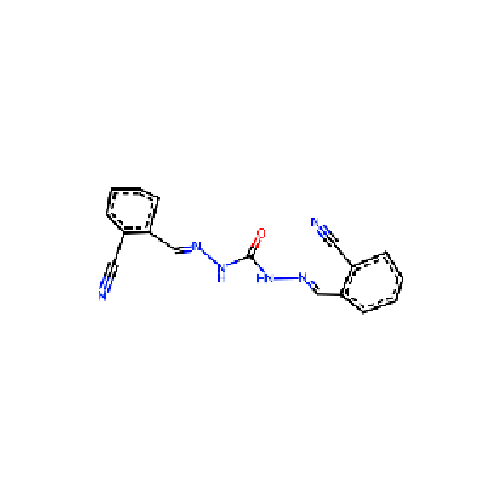 N#Cc1ccccc1/C=N/NC(=O)N/N=C/c1ccccc1C#N